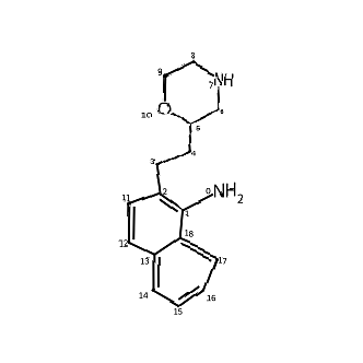 Nc1c(CCC2CNCCO2)ccc2ccccc12